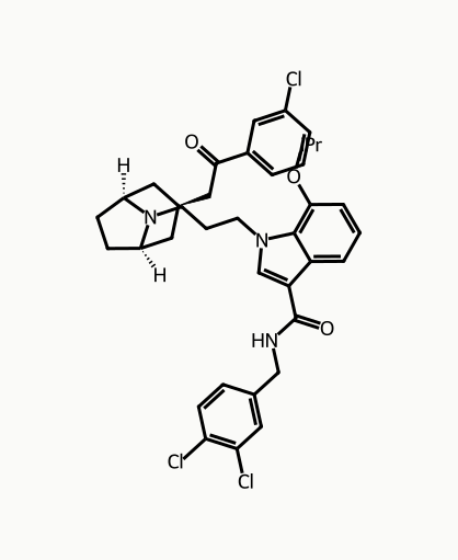 CC(C)Oc1cccc2c(C(=O)NCc3ccc(Cl)c(Cl)c3)cn(CCCN3[C@@H]4CC[C@H]3C[C@@H](CC(=O)c3cccc(Cl)c3)C4)c12